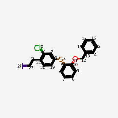 Clc1cc(Sc2ccccc2OCc2ccccc2)ccc1CCI